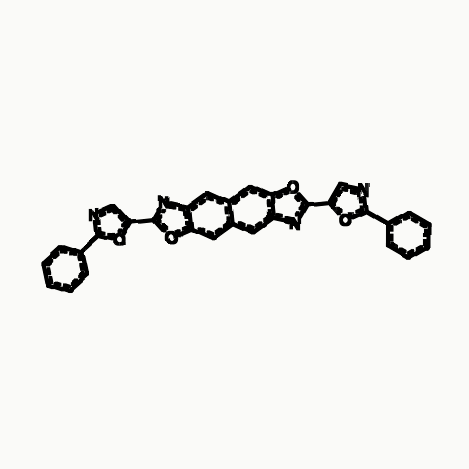 c1ccc(-c2ncc(-c3nc4cc5cc6oc(-c7cnc(-c8ccccc8)o7)nc6cc5cc4o3)o2)cc1